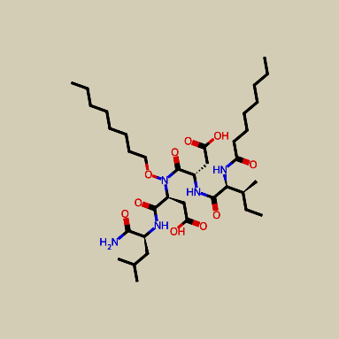 CCCCCCCCON(C(=O)[C@H](CC(=O)O)NC(=O)[C@@H](NC(=O)CCCCCCC)[C@@H](C)CC)[C@@H](CC(=O)O)C(=O)N[C@@H](CC(C)C)C(N)=O